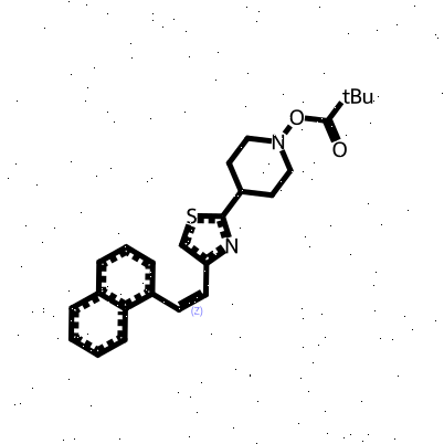 CC(C)(C)C(=O)ON1CCC(c2nc(/C=C\c3cccc4ccccc34)cs2)CC1